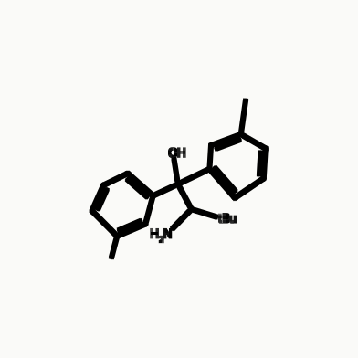 Cc1cccc(C(O)(c2cccc(C)c2)C(N)C(C)(C)C)c1